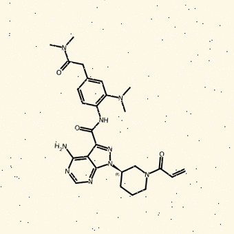 C=CC(=O)N1CCC[C@@H](n2nc(C(=O)Nc3ccc(CC(=O)N(C)C)cc3N(C)C)c3c(N)ncnc32)C1